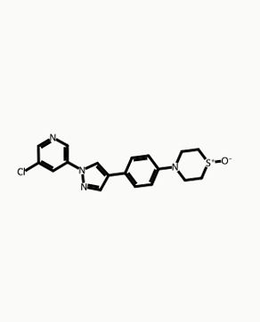 [O-][S+]1CCN(c2ccc(-c3cnn(-c4cncc(Cl)c4)c3)cc2)CC1